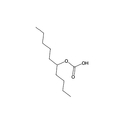 CCCCCC(CCCC)OC(=O)O